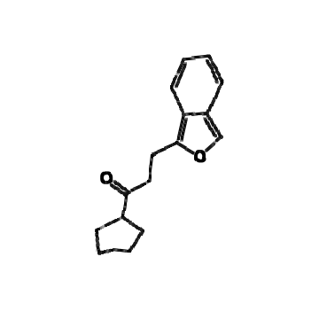 O=C(CCc1occ2ccccc12)C1CCCC1